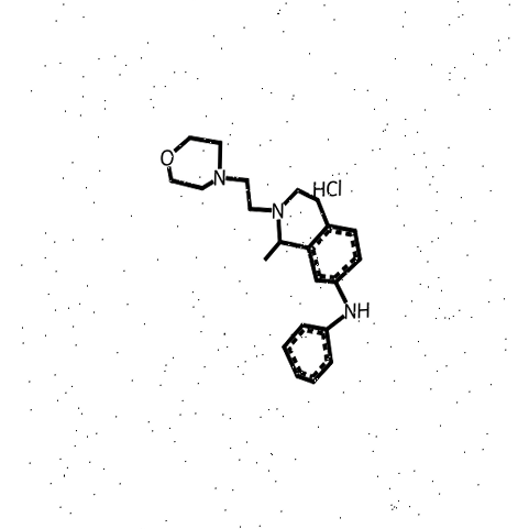 CC1c2cc(Nc3ccccc3)ccc2CCN1CCN1CCOCC1.Cl